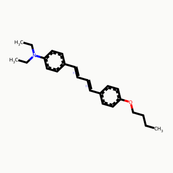 CCCCOc1ccc(/C=C/C=C/c2ccc(N(CC)CC)cc2)cc1